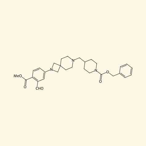 COC(=O)c1ccc(N2CC3(CCN(CC4CCN(C(=O)OCc5ccccc5)CC4)CC3)C2)cc1C=O